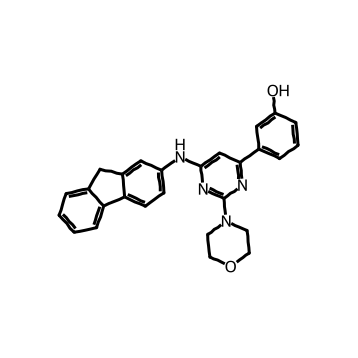 Oc1cccc(-c2cc(Nc3ccc4c(c3)Cc3ccccc3-4)nc(N3CCOCC3)n2)c1